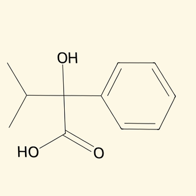 CC(C)C(O)(C(=O)O)c1ccccc1